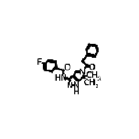 CC1(C)c2[nH]nc(NC(=O)c3ccc(F)cc3)c2CN1C(=O)Cc1ccccc1